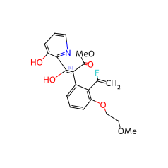 C=C(F)c1c(OCCOC)cccc1/C(C(=O)OC)=C(\O)c1ncccc1O